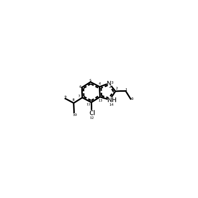 CCc1nc2ccc(C(C)C)c(Cl)c2[nH]1